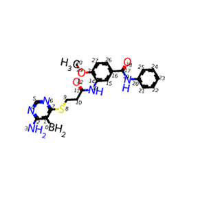 Bc1c(N)ncnc1SCCC(=O)Nc1cc(C(=O)Nc2ccccc2)ccc1OC